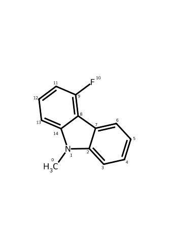 Cn1c2ccccc2c2c(F)cccc21